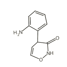 Nc1ccccc1C1C=CONC1=O